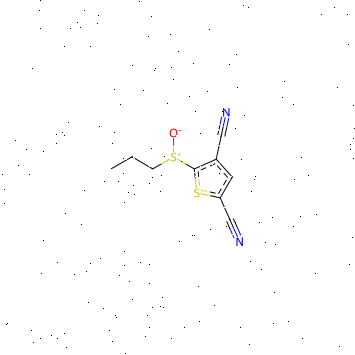 CCC[S+]([O-])c1sc(C#N)cc1C#N